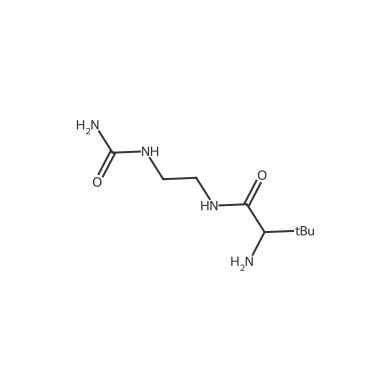 CC(C)(C)C(N)C(=O)NCCNC(N)=O